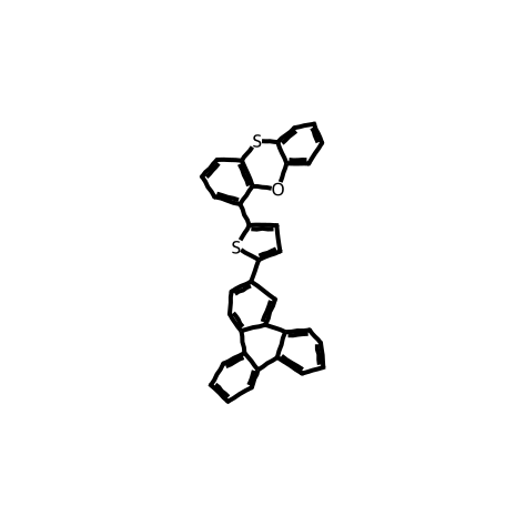 c1ccc2c(c1)Oc1c(cccc1-c1ccc(-c3ccc4c5ccccc5c5ccccc5c4c3)s1)S2